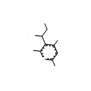 CCC(C)c1c(C)cc(C)nc1C